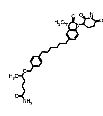 CC(CCCC(N)=O)OCc1ccc(CCCCCCc2ccc3c(c2)n(C)c(=O)n3C2CCC(=O)NC2=O)cc1